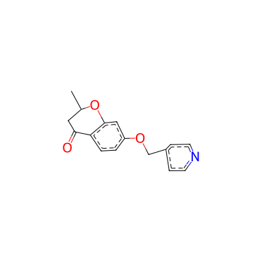 CC1CC(=O)c2ccc(OCc3ccncc3)cc2O1